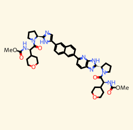 COC(=O)N[C@H](C(=O)N1CCC[C@H]1c1ncc(-c2ccc3cc(-c4ccc5nc([C@@H]6CCCN6C(=O)[C@@H](NC(=O)OC)C6CCOCC6)[nH]c5n4)ccc3c2)[nH]1)C1CCOCC1